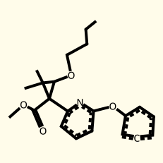 CCCCOC1C(C)(C)C1(C(=O)OC)c1cccc(Oc2ccccc2)n1